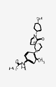 CC(=O)Nc1ccc(N2CCC[C@@]3(CCN([C@H]4CC[C@H](O)CC4)C3=O)C2)c(C)c1